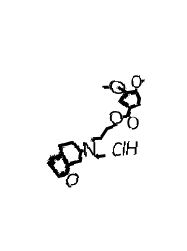 CCN(CCCCOC(=O)c1ccc(OC)c(OC)c1)C1CCc2cccc(OC)c2C1.Cl